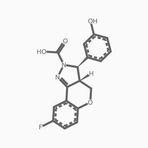 O=C(O)N1N=C2c3cc(F)ccc3OC[C@H]2[C@@H]1c1cccc(O)c1